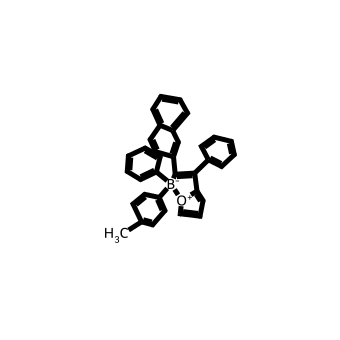 Cc1ccc([B-]2(c3ccccc3)C(c3ccc4ccccc4c3)=C(c3ccccc3)c3ccc[o+]32)cc1